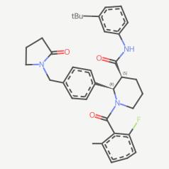 Cc1cccc(F)c1C(=O)N1CCC[C@H](C(=O)Nc2cccc(C(C)(C)C)c2)[C@@H]1c1ccc(CN2CCCC2=O)cc1